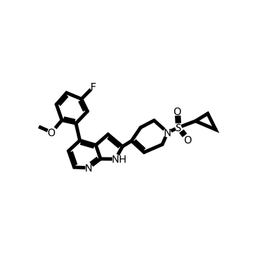 COc1ccc(F)cc1-c1ccnc2[nH]c(C3=CCN(S(=O)(=O)C4CC4)CC3)cc12